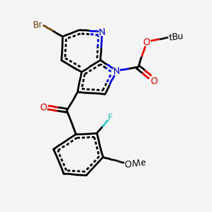 COc1cccc(C(=O)c2cn(C(=O)OC(C)(C)C)c3ncc(Br)cc23)c1F